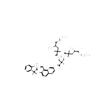 CCCCOC(=O)C(Br)CC(C)(C)C(=O)OCC(C)(COC(=O)C(C)(C)CC(Br)C(=O)OCCCC)C(=O)Oc1ccc2ccc3c(c2c1)C=NC1(O3)N(C)c2ccccc2C1(C)C